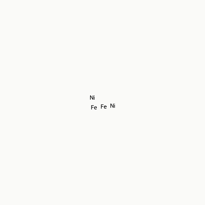 [Fe].[Fe].[Ni].[Ni]